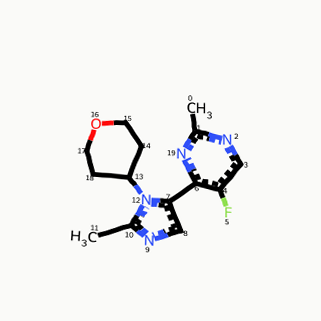 Cc1ncc(F)c(-c2cnc(C)n2C2CCOCC2)n1